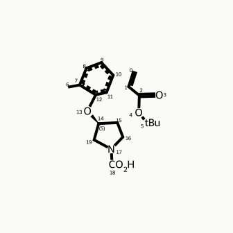 C=CC(=O)OC(C)(C)C.Cc1ccccc1O[C@H]1CCN(C(=O)O)C1